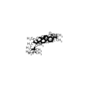 CO[C@H](C)[C@H](OC[C@@](C)(C(C)C)N(C)C)C1(C)COC[C@@]2(C)C3=CC[C@@]4(C)[C@H](C(=O)O)[C@@](C)([C@H](C)C(C)C)CC[C@]4(C)[C@H]3CC[C@@H]12